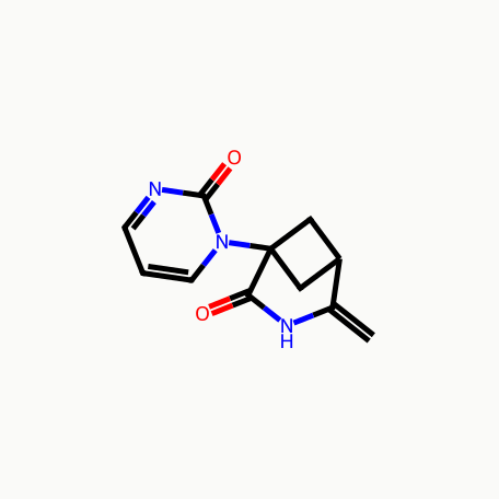 C=C1NC(=O)C2(n3cccnc3=O)CC1C2